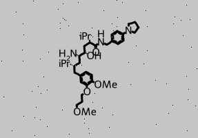 COCCCOc1cc(C[C@@H](C[C@H](N)[C@@H](O)C[C@H](C(=O)NCc2ccc(N3CCCC3)cc2)C(C)C)C(C)C)ccc1OC